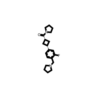 O=C([C@H]1C[C@@H](c2ccc(CN3CCCC3)c(F)c2)C1)N1CCCC1